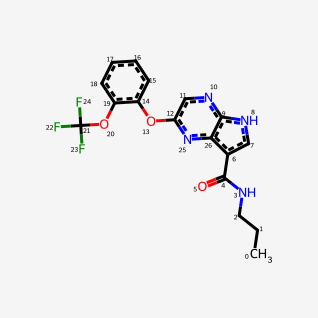 CCCNC(=O)c1c[nH]c2ncc(Oc3ccccc3OC(F)(F)F)nc12